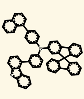 c1cc(-c2cccc3sc4ccccc4c23)cc(N(c2ccc(-c3cccc4ccccc34)cc2)c2ccc3c(c2)C2(c4ccccc4-c4ccccc42)c2ccccc2-3)c1